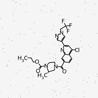 CCCOC(=O)N1CCN(C(=O)c2ccc3c(Cl)cc(-c4cnn(CC(F)(F)F)c4)nc3c2)C[C@H]1C